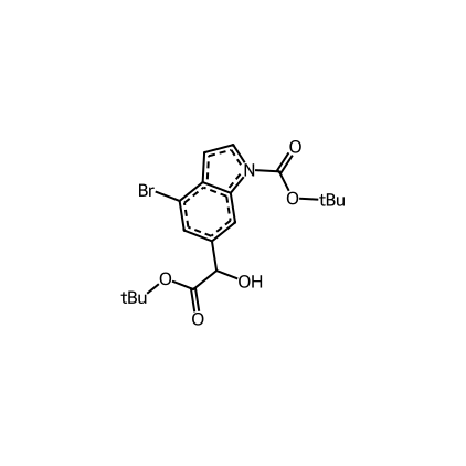 CC(C)(C)OC(=O)C(O)c1cc(Br)c2ccn(C(=O)OC(C)(C)C)c2c1